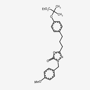 CCOC(=O)C(C)(C)Oc1ccc(CCCc2nn(Cc3ccc(OC)cc3)c(=O)o2)cc1